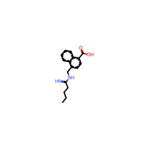 CCCCC(=N)NCc1ccc(C(=O)O)c2ccccc12